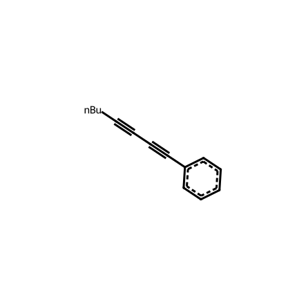 CCCCC#CC#Cc1ccccc1